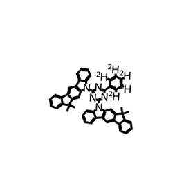 [2H]c1c([2H])c([2H])c(-c2nc(-n3c4ccccc4c4cc5c(cc43)C(C)(C)c3ccccc3-5)nc(-n3c4ccccc4c4cc5c(cc43)C(C)(C)c3ccccc3-5)n2)c([2H])c1[2H]